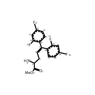 COC(=O)C(N)CC=C(c1ccc(F)cc1F)c1ccc(F)cc1F